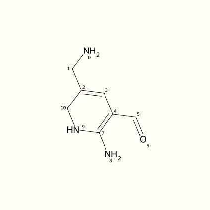 NCC1=CC(C=O)=C(N)NC1